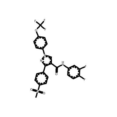 CS(=O)(=O)c1ccc(-c2nn(-c3ccc(OC(F)(F)F)cc3)cc2C(=O)Nc2ccc(F)c(F)c2)cc1